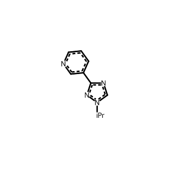 CC(C)n1cnc(-c2cccnc2)n1